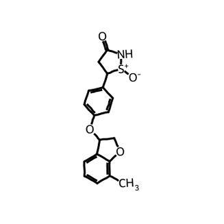 Cc1cccc2c1OCC2Oc1ccc(C2CC(=O)N[S+]2[O-])cc1